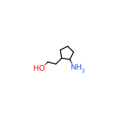 NC1CCCC1CCO